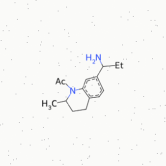 CCC(N)c1ccc2c(c1)N(C(C)=O)C(C)CC2